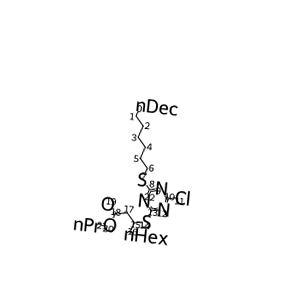 CCCCCCCCCCCCCCCCSc1nc(Cl)nc(SC(CCCCCC)CC(=O)OCCC)n1